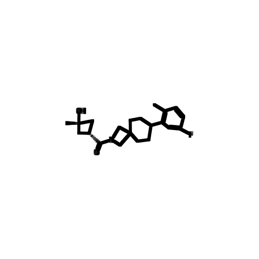 Cc1ccc(F)cc1C1CCC2(CC1)CN(C(=O)[C@H]1C[C@@](C)(O)C1)C2